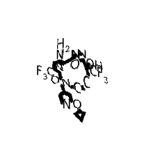 Nc1cc(C(F)(F)F)c2nc1-c1nnc(o1)[C@@](O)(C(F)(F)F)CCCCCN(Cc1ccnc(OC3CCC3)c1)C2=O